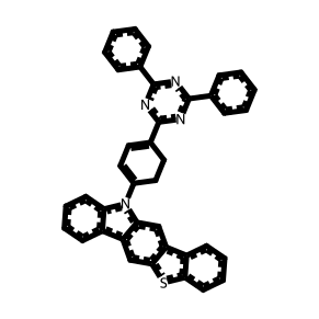 C1=C(c2nc(-c3ccccc3)nc(-c3ccccc3)n2)CCC(n2c3ccccc3c3cc4sc5ccccc5c4cc32)=C1